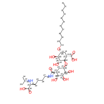 CCCCCCCCCCCCO[C@@H]1C[C@H](C(=O)O)[C@@H](O[C@@H]2C[C@H](C(=O)NCCCC[C@H](NC(C)C)C(=O)O)[C@@H](O)[C@H](O)[C@H]2O)[C@H](O)[C@H]1O